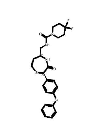 O=C1N[C@H](CNC(=O)N2CCC(F)(F)CC2)CCS[C@@H]1c1ccc(Oc2ccccc2)cc1